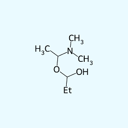 CCC(O)OC(C)N(C)C